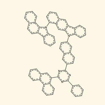 c1ccc(-c2nc(-c3ccc4cc(-n5c6ccccc6c6cc7cccc(-n8c9ccccc9c9ccc%10ccccc%10c98)c7cc65)ccc4c3)nc(-c3cc4ccccc4c4ccccc34)n2)cc1